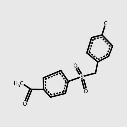 CC(=O)c1ccc(S(=O)(=O)Cc2ccc(Cl)cc2)cc1